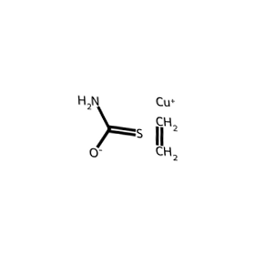 C=C.NC([O-])=S.[Cu+]